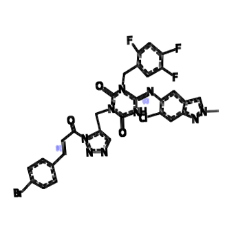 Cn1cc2cc(/N=c3\[nH]c(=O)n(Cc4cnnn4C(=O)/C=C/c4ccc(Br)cc4)c(=O)n3Cc3cc(F)c(F)cc3F)c(Cl)cc2n1